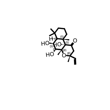 C=C[C@@]1(C)CC(=O)[C@]2(O)[C@@]3(C)CCCC(C)(C)[C@@H]3[C@H](O)[C@H](O)[C@@]2(C)O1